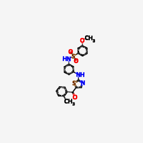 COc1cccc(S(=O)(=O)Nc2cccc(Nc3ncc(C(=O)c4ccccc4C)s3)c2)c1